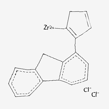 [Cl-].[Cl-].[Zr+2][C]1=C(c2cccc3c2Cc2ccccc2-3)C=CC1